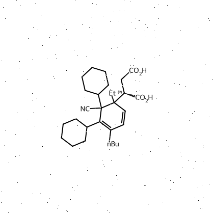 CCCCC1=C(C2CCCCC2)C(C#N)(C2CCCCC2)C(CC)([C@@H](CC(=O)O)C(=O)O)C=C1